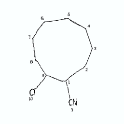 N#CC1CCCCCCCC1Cl